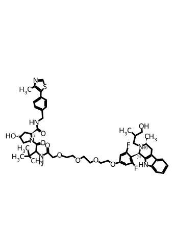 Cc1ncsc1-c1ccc(CNC(=O)[C@@H]2C[C@@H](O)CN2C(=O)C(NC(=O)COCCOCCOCCOc2cc(F)c([C@@H]3c4[nH]c5ccccc5c4C[C@@H](C)N3CC(C)CO)c(F)c2)C(C)(C)C)cc1